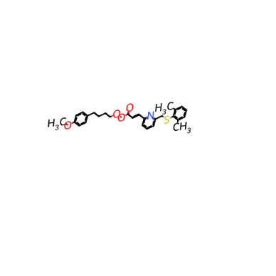 COc1ccc(CCCCOOC(=O)C=Cc2cccc(CSc3c(C)cccc3C)n2)cc1